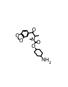 CC(C(=O)c1ccc2c(c1)OCO2)N(C)C(=O)OC1CCC(N)CC1